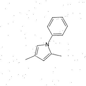 Cc1cc(C)n(-c2ccccc2)c1